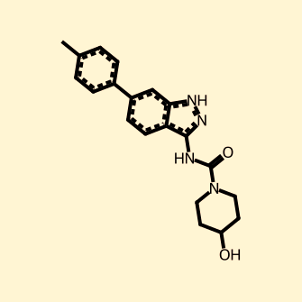 Cc1ccc(-c2ccc3c(NC(=O)N4CCC(O)CC4)n[nH]c3c2)cc1